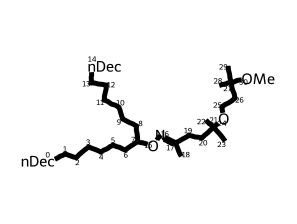 CCCCCCCCCCCCCCCCC(CCCCCCCCCCCCCCCC)O/N=C(\C)CCC(C)(C)OCCC(C)(C)OC